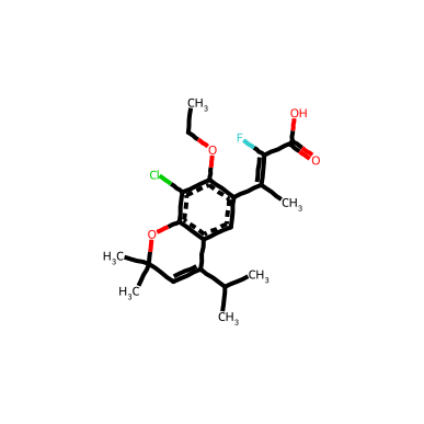 CCOc1c(C(C)=C(F)C(=O)O)cc2c(c1Cl)OC(C)(C)C=C2C(C)C